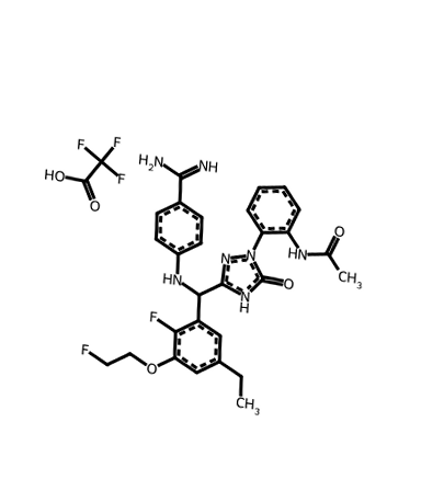 CCc1cc(OCCF)c(F)c(C(Nc2ccc(C(=N)N)cc2)c2nn(-c3ccccc3NC(C)=O)c(=O)[nH]2)c1.O=C(O)C(F)(F)F